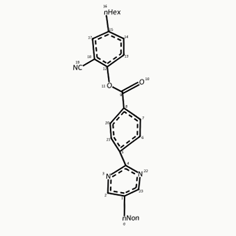 CCCCCCCCCc1cnc(-c2ccc(C(=O)Oc3ccc(CCCCCC)cc3C#N)cc2)nc1